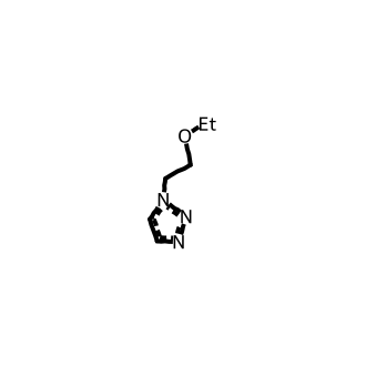 CCOCCn1ccnn1